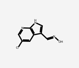 ON=Cc1c[nH]c2ncc(Cl)cc12